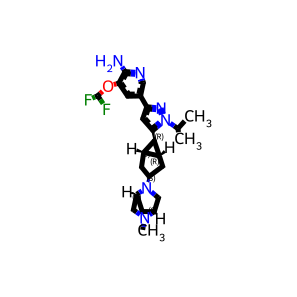 CC(C)n1nc(-c2cnc(N)c(OC(F)F)c2)cc1[C@H]1[C@@H]2C[C@@H](N3C[C@@H]4C[C@H]3CN4C)C[C@@H]21